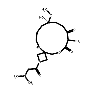 CO[C@]1(O)CCCNC2(COC(=O)C(C)C(=O)CC1)CN(C(=O)CN(C)C)C2